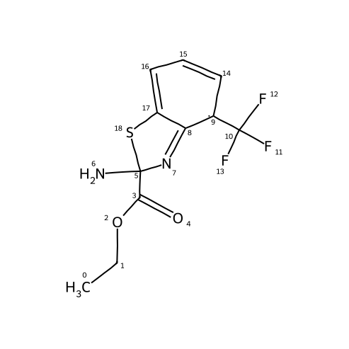 CCOC(=O)C1(N)N=C2[C](C(F)(F)F)C=CC=C2S1